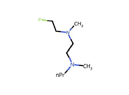 CCCN(C)CCN(C)CCF